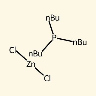 CCCCP(CCCC)CCCC.[Cl][Zn][Cl]